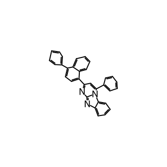 c1ccc(-c2ccc(-c3cc(-c4ccccc4)n4c(n3)nc3ccccc34)c3ccccc23)cc1